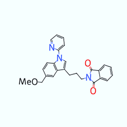 COCc1ccc2c(c1)c(CCCN1C(=O)c3ccccc3C1=O)cn2-c1ccccn1